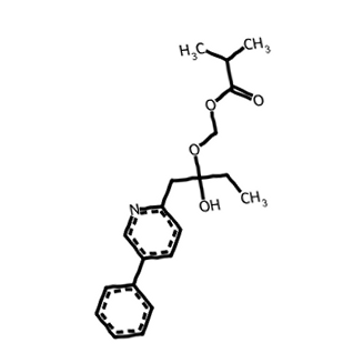 CCC(O)(Cc1ccc(-c2ccccc2)cn1)OCOC(=O)C(C)C